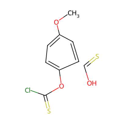 COc1ccc(OC(=S)Cl)cc1.OC=S